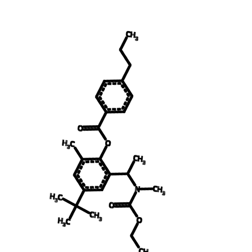 CCCc1ccc(C(=O)Oc2c(C)cc(C(C)(C)C)cc2C(C)N(C)C(=O)OCC)cc1